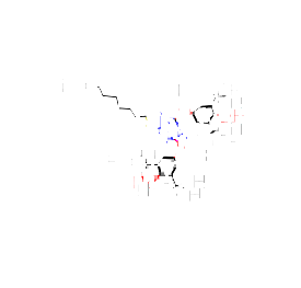 CCCCCCCCSc1nc(Oc2cc(C(C)(C)C)c(O)c(C(C)(C)C)c2)nc(Oc2cc(C(C)(C)C)c(O)c(C(C)(C)C)c2)n1